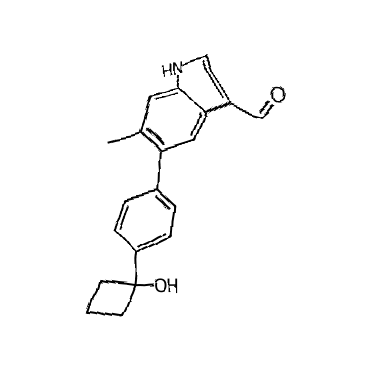 Cc1cc2[nH]cc(C=O)c2cc1-c1ccc(C2(O)CCC2)cc1